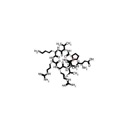 CC(C)C[C@H](NC(=O)[C@@H](N)CC(=O)O)C(=O)N1CCC[C@H]1C(=O)N[C@H](C(=O)N[C@@H](CCCCN)C(=O)N[C@@H](CCCNC(=N)N)C(=O)N[C@@H](CCCNC(=N)N)C(=O)N[C@@H](C)C(=O)O)C(C)C